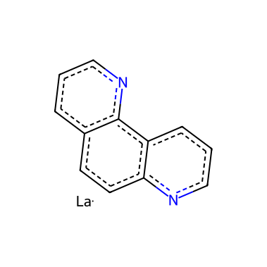 [La].c1cnc2c(c1)ccc1ncccc12